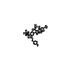 NC(=O)c1c(-c2ccc(NS(=O)(=O)C(F)F)c(OCCc3ccc(F)cc3)c2)n[nH]c1Nc1cc(C2CCC2)on1